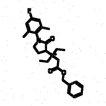 CC[N+](CC)(CC(=O)OCc1ccccc1)C1CCN(c2c(C)cc(F)cc2C)C1=O